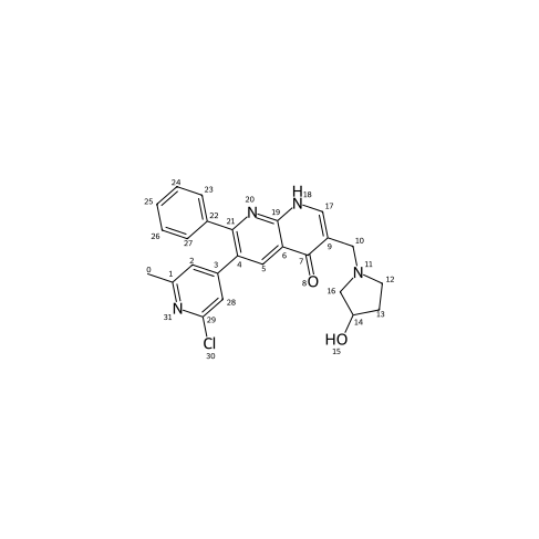 Cc1cc(-c2cc3c(=O)c(CN4CCC(O)C4)c[nH]c3nc2-c2ccccc2)cc(Cl)n1